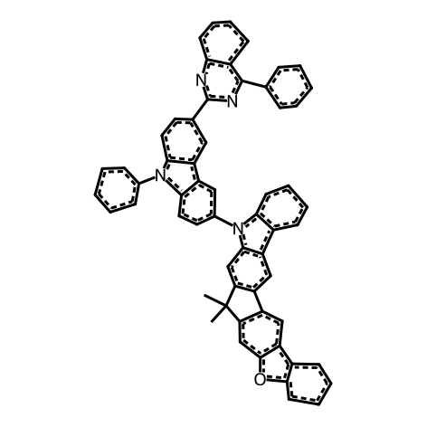 CC1(C)c2cc3oc4ccccc4c3cc2-c2cc3c4ccccc4n(-c4ccc5c(c4)c4cc(-c6nc(-c7ccccc7)c7ccccc7n6)ccc4n5-c4ccccc4)c3cc21